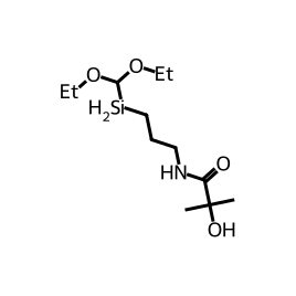 CCOC(OCC)[SiH2]CCCNC(=O)C(C)(C)O